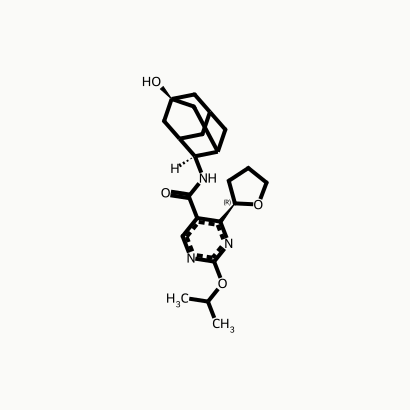 CC(C)Oc1ncc(C(=O)N[C@H]2C3CC4CC2C[C@@](O)(C4)C3)c([C@H]2CCCO2)n1